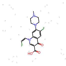 CN1CCN(c2cc3c(cc2F)c(=O)c(C(=O)O)cn3/C=C\F)CC1